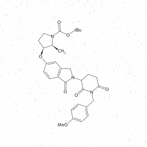 COc1ccc(CN2C(=O)CCC(N3Cc4cc(O[C@H]5CCN(C(=O)OC(C)(C)C)[C@H]5C)ccc4C3=O)C2=O)cc1